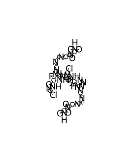 Nc1nccn2c(N3CCC4(CC3)CN(C[C@H]3CCN(c5ccc6c(c5)CN(C5CCC(=O)NC5=O)C6=O)C3)C4)nc(-c3ccc(C(=O)Nc4cc(Cl)cc(-c5cn6c(N7CCC8(CC7)CN(CC7CCN(c9ccc%10c(c9)CN(C9CCC(=O)NC9=O)C%10=O)C7)C8)nc(-c7ccc(C(=O)Nc8cc(Cl)ccn8)cc7F)c6c(N)n5)n4)cc3F)c12